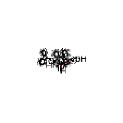 CC(C)C(NC(=O)OCC1c2ccccc2-c2ccccc21)C(NCCCCCO)SC(c1ccccc1)(c1ccccc1)c1ccccc1